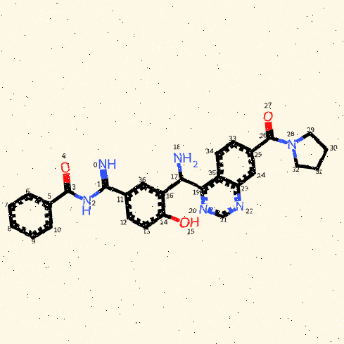 N=C(NC(=O)c1ccccc1)c1ccc(O)c(C(N)c2ncnc3cc(C(=O)N4CCCC4)ccc23)c1